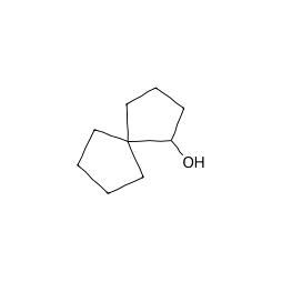 OC1CCCC12CCCC2